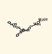 COC(=O)C1CCC(NC(=O)CCCOC2CCC(OCNC(=O)CN(CC(=O)OCc3ccccc3)C(=O)/C=C/COC3CCC(OCCN(Cc4ccccc4)Cc4ccccc4)CC3)CC2)CC1